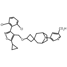 O=C(O)c1cncc(N2C3CCC2CC2(CC(OCc4c(-c5c(Cl)cccc5Cl)noc4C4CC4)C2)C3)c1